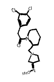 CO/N=C1/CCN(CC2CCCCN2C(=O)Cc2ccc(Cl)c(Cl)c2)C1